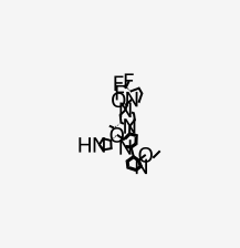 CCOc1ncccc1-c1ccc(N2CCN(C(=O)N3CCC[C@H]3C(F)(F)F)C[C@H]2CC)c(O[C@@H]2CCNC2)n1